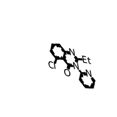 CCc1nc2cccc(Cl)c2c(=O)n1-c1ccccn1